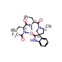 CC(C)C[C@@H](C(=O)N1C[C@]2(C[C@H]1C#N)C(=O)Nc1ccccc12)N(C)C(=O)[C@H](CC(C)(C)C)N(C)C(=O)C(F)(F)F